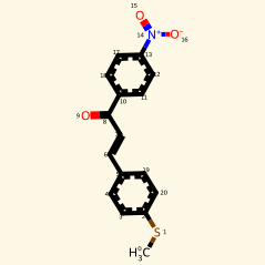 CSc1ccc(/C=C/C(=O)c2ccc([N+](=O)[O-])cc2)cc1